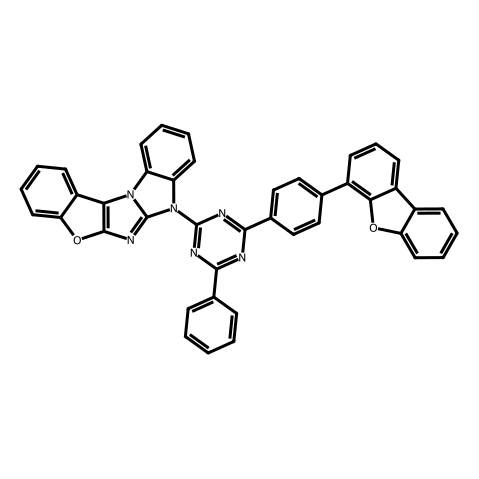 c1ccc(-c2nc(-c3ccc(-c4cccc5c4oc4ccccc45)cc3)nc(-n3c4ccccc4n4c5c(nc34)oc3ccccc35)n2)cc1